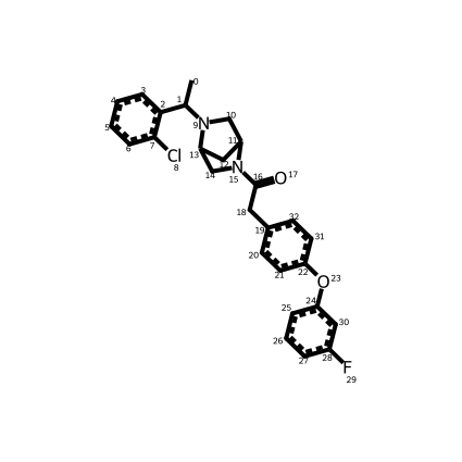 CC(c1ccccc1Cl)N1CC2CC1CN2C(=O)Cc1ccc(Oc2cccc(F)c2)cc1